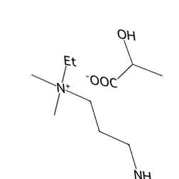 CC(O)C(=O)[O-].CC[N+](C)(C)CCCN